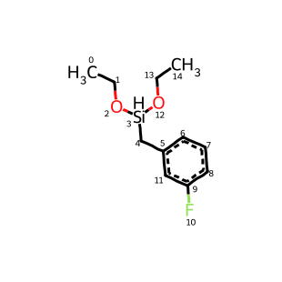 CCO[SiH](Cc1cccc(F)c1)OCC